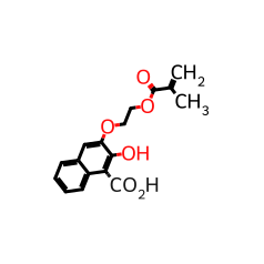 C=C(C)C(=O)OCCOc1cc2ccccc2c(C(=O)O)c1O